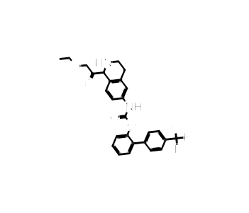 CCOCC(=O)C1NCCc2cc(NC(=O)Oc3ccccc3-c3ccc(C(F)(F)F)cc3)ccc21